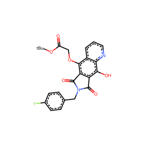 CC(C)(C)OC(=O)COc1c2c(c(O)c3ncccc13)C(=O)N(Cc1ccc(F)cc1)C2=O